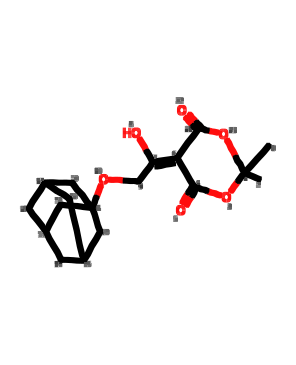 CC1(C)OC(=O)C(=C(O)COC23CC4CC(CC(C4)C2)C3)C(=O)O1